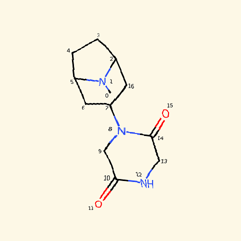 CN1C2CCC1CC(N1CC(=O)NCC1=O)C2